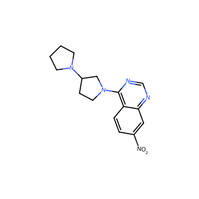 O=[N+]([O-])c1ccc2c(N3CCC(N4CCCC4)C3)ncnc2c1